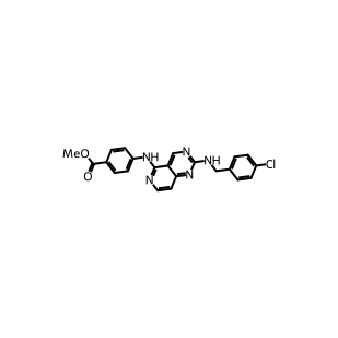 COC(=O)c1ccc(Nc2nccc3nc(NCc4ccc(Cl)cc4)ncc23)cc1